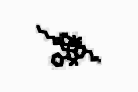 CCCCCCCCC(Oc1ccccc1)(c1c(C(C)(C)C)cc(CN)cc1C(C)(C)C)C(CO)(CO)CO